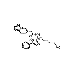 CC(=O)CCCCC[C@H](NC(=O)Cc1cnc2ncnn2c1)c1ncc(-c2ccccc2)[nH]1